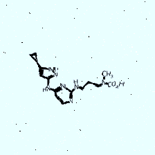 CN(CCCNc1nccc(Nc2cc(C3CC3)[nH]n2)n1)C(=O)O